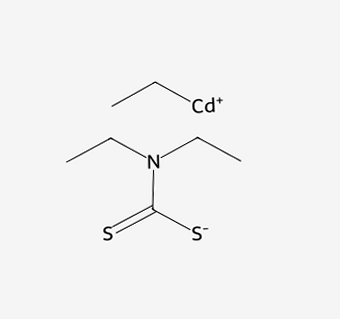 CCN(CC)C(=S)[S-].C[CH2][Cd+]